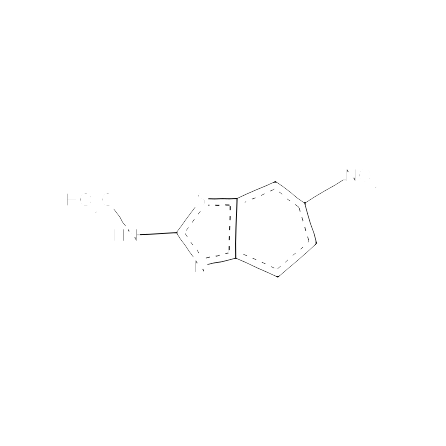 O=C(O)Nc1nc2ccc([N+](=O)[O-])cc2s1